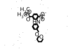 CON(C)C(=O)c1ccc([N+](=O)[O-])c(Nc2cccc(COC3CCCCO3)c2)c1